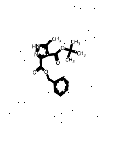 Cc1[nH]nc(C(=O)OCc2ccccc2)c1C(=O)OC(C)(C)C